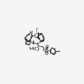 Cc1ccc(S(=O)(=O)OC[C@@H](O)[C@H](c2cccc(F)c2)n2ccc3ccnc(Cl)c32)cc1